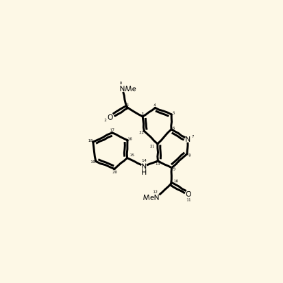 CNC(=O)c1ccc2ncc(C(=O)NC)c(Nc3ccccc3)c2c1